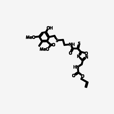 C=CCOC(=O)NCc1noc(C(=S)C(=O)NCCSCc2c(O)cc(OC)c(C)c2C(=O)OC)n1